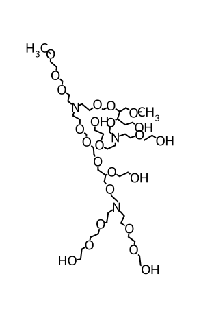 COCCOCOCCN(CCOCOCCOCC(COCCN(CCOCCOCCO)CCOCCOCCO)OCCO)CCOCOC(COC)C(CCO)OCN(CCOCCO)CCOCCO